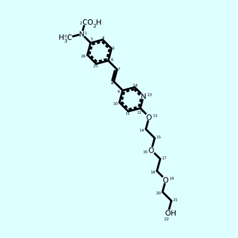 CN(C(=O)O)c1ccc(/C=C/c2ccc(OCCOCCOCCO)nc2)cc1